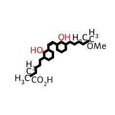 COC(C)(C)CCCCC1CCCC(/C=C\C2CCCC(CCCCC(C)(C)C(=O)O)C2O)C1O